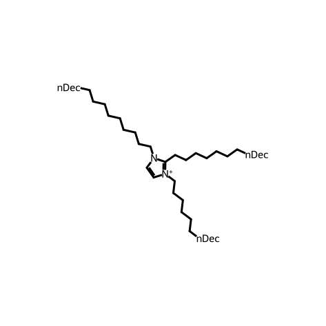 CCCCCCCCCCCCCCCCCCCn1cc[n+](CCCCCCCCCCCCCCCC)c1CCCCCCCCCCCCCCCCC